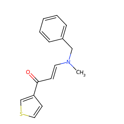 CN(C=CC(=O)c1ccsc1)Cc1ccccc1